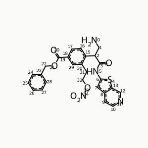 NCC(C(=O)Nc1cc2ccncc2s1)c1ccc(C(=O)OCc2ccccc2)cc1CCO[N+](=O)[O-]